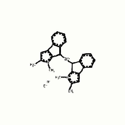 Cc1cc2c(n1C)[CH]([Zr+2][CH]1c3ccccc3-c3cc(C)n(C)c31)c1ccccc1-2.[Cl-].[Cl-]